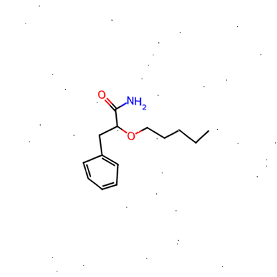 CCCCCOC(Cc1ccccc1)C(N)=O